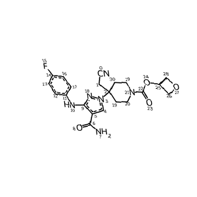 N#CCC1(n2cc(C(N)=O)c(Nc3ccc(F)cc3)n2)CCN(C(=O)OC2COC2)CC1